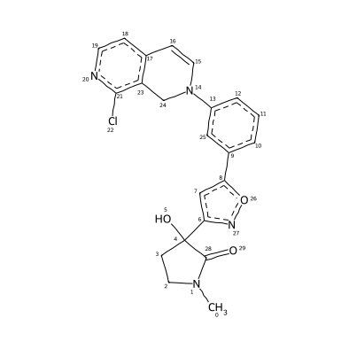 CN1CCC(O)(c2cc(-c3cccc(N4C=Cc5ccnc(Cl)c5C4)c3)on2)C1=O